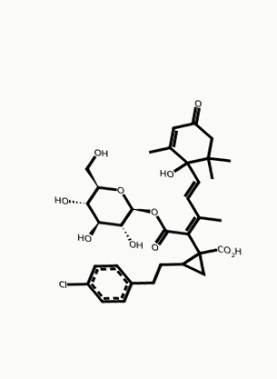 CC1=CC(=O)CC(C)(C)C1(O)/C=C/C(C)=C(\C(=O)O[C@@H]1O[C@H](CO)[C@@H](O)[C@H](O)[C@H]1O)C1(C(=O)O)CC1CCc1ccc(Cl)cc1